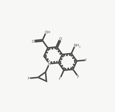 Nc1c(F)c(F)c(F)c2c1c(=O)c(C(=O)O)cn2C1CC1F